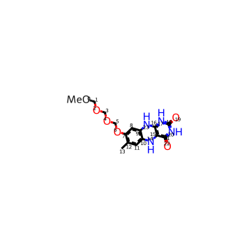 COCOCOCOc1cc2c(cc1C)Nc1c([nH]c(=O)[nH]c1=O)N2